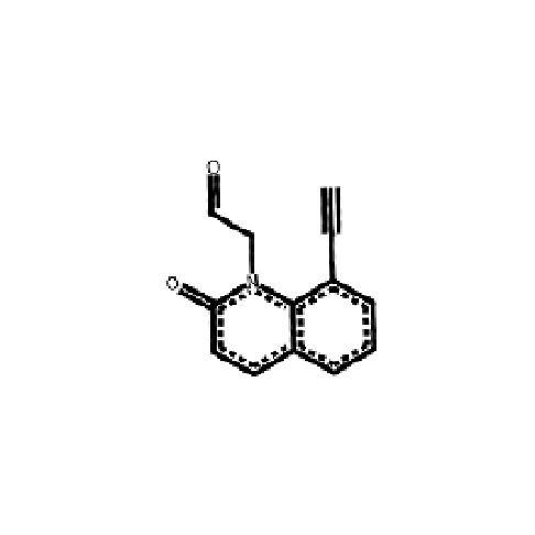 C#Cc1cccc2ccc(=O)n(CC=O)c12